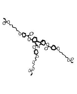 C=CC(=O)OCCCCCCOc1ccc(C(=O)Oc2ccc3c(c2)nc(Oc2ccc(OCCOCCOC(=O)C=C)cc2)c2cc(OC(=O)c4ccc(OCCCCCCOC(=O)C=C)cc4)ccc23)cc1